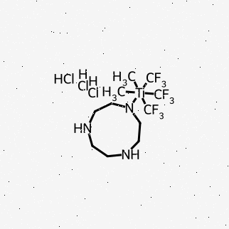 Cl.Cl.Cl.[CH3][Ti]([CH3])([N]1CCNCCNCC1)([C](F)(F)F)([C](F)(F)F)[C](F)(F)F